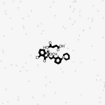 CC(CN1C(=O)c2c(Cl)cccc2S1(=O)=O)c1cccc(N2CCCCC2)c1.O=C(O)C=CC(=O)O